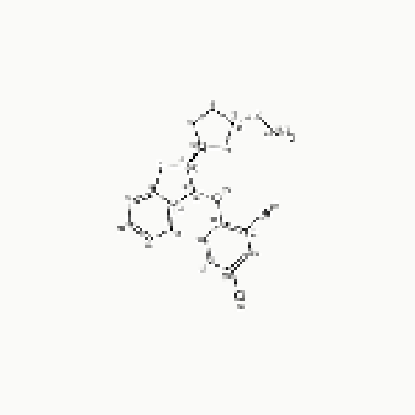 NC[C@H]1CCN([C@@H]2Cc3ccccc3[C@H]2Oc2ccc(Cl)cc2Br)C1